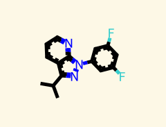 CC(C)c1nn(-c2cc(F)cc(F)c2)c2ncccc12